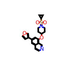 O=S(=O)(C1CC1)N1CCC(Oc2cc(-c3ccoc3)cc3ccncc23)CC1